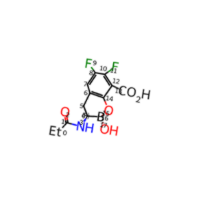 CCC(=O)N[C@H]1Cc2cc(F)c(F)c(C(=O)O)c2OB1O